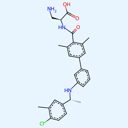 Cc1cc([C@@H](C)Nc2cccc(-c3cc(C)c(C(=O)N[C@@H](CN)C(=O)O)c(C)c3)c2)ccc1Cl